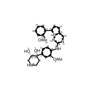 COc1cc([C@@]2(O)CCNC[C@@H]2O)ccc1Nc1ncc2ccc(-c3ccccc3OC)n2n1